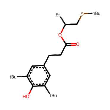 CCCCSCC(CC)OC(=O)CCc1cc(C(C)(C)C)c(O)c(C(C)(C)C)c1